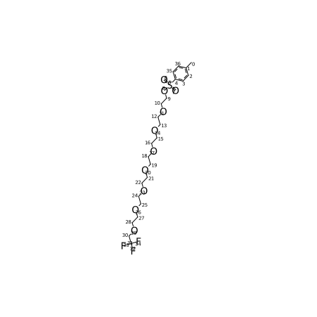 Cc1ccc(S(=O)(=O)OCCOCCOCCOCCOCCOCCOCCOCC(F)(F)F)cc1